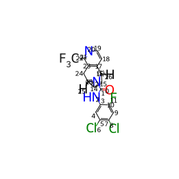 O=C(Nc1cc(Cl)c(Cl)cc1F)N1[C@@H]2CC[C@H]1c1ccnc(C(F)(F)F)c1C2